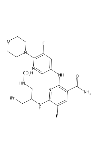 CC(C)CC(CNC(=O)O)Nc1nc(Nc2cnc(N3CCOCC3)c(F)c2)c(C(N)=O)cc1F